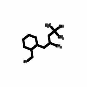 CC(C)CC1CCCCC1CC(C)CC(C)(C)O